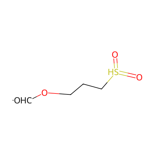 O=[C]OCCC[SH](=O)=O